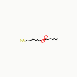 CCCCCCC(=O)OCCCCCCCCS